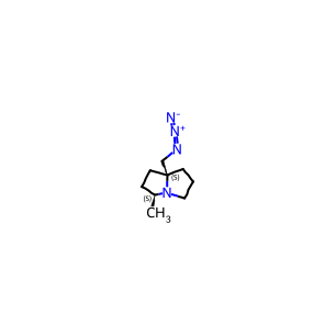 C[C@H]1CC[C@]2(CN=[N+]=[N-])CCCN12